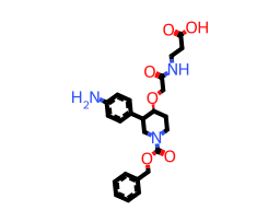 Nc1ccc(C2CN(C(=O)OCc3ccccc3)CC[C@@H]2OCC(=O)NCCC(=O)O)cc1